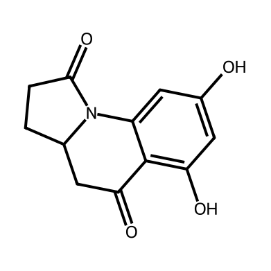 O=C1CC2CCC(=O)N2c2cc(O)cc(O)c21